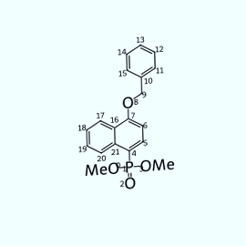 COP(=O)(OC)c1ccc(OCc2ccccc2)c2ccccc12